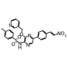 Cc1ccc(S(=O)(=O)Nc2ncc(-c3ccc(/C=C/[N+](=O)[O-])cc3)nc2OCc2cccnc2)cc1